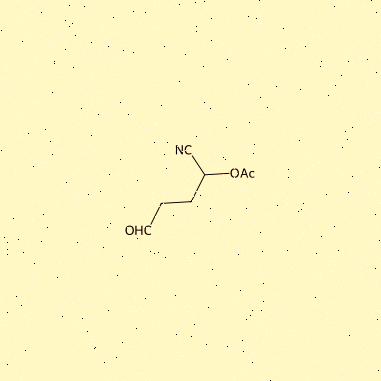 CC(=O)OC(C#N)CCC=O